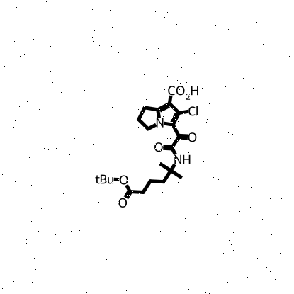 CC(C)(CCCC(=O)OC(C)(C)C)NC(=O)C(=O)c1c(Cl)c(C(=O)O)c2n1CCC2